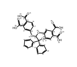 CC(c1ccccc1)(c1ccccc1)C(Oc1ccc(C(=O)O)c(C(=O)O)c1)Oc1ccc(C(=O)O)c(C(=O)O)c1